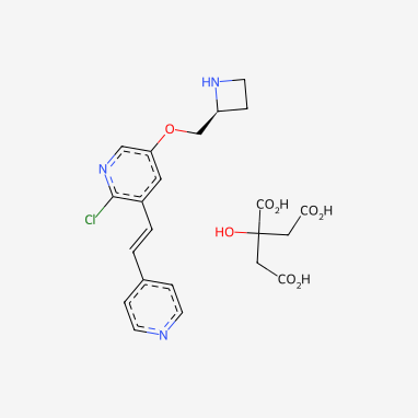 Clc1ncc(OC[C@@H]2CCN2)cc1C=Cc1ccncc1.O=C(O)CC(O)(CC(=O)O)C(=O)O